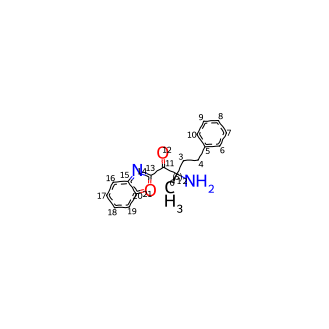 C[C@](N)(CCc1ccccc1)C(=O)c1nc2ccccc2o1